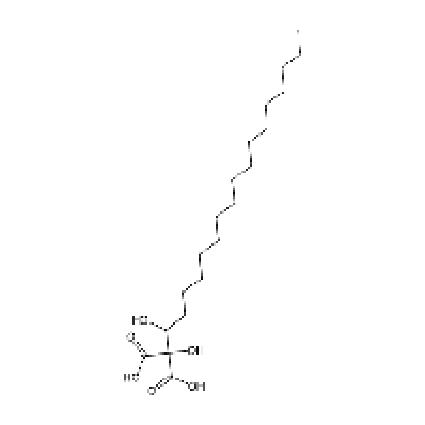 CCCCCCCCCCCCCCCCC(O)C(O)(C(=O)O)C(=O)O